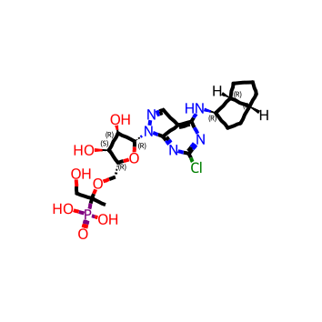 CC(CO)(OC[C@H]1O[C@@H](n2ncc3c(N[C@@H]4CC[C@H]5CCC[C@H]54)nc(Cl)nc32)[C@H](O)[C@@H]1O)P(=O)(O)O